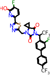 O=C1N(C(c2ccc(-c3ccc(C(F)(F)F)cc3)cc2F)C(F)(F)F)C(=O)C2(CC2)N1Cc1nnc(-c2ccc(F)c(O)n2)s1